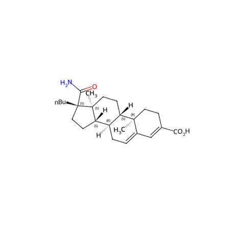 CCCC[C@]1(C(N)=O)CC[C@H]2[C@@H]3CC=C4C=C(C(=O)O)CC[C@]4(C)[C@H]3CC[C@@]21C